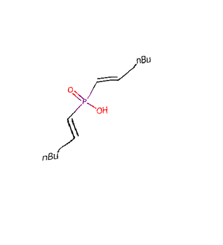 CCCCC=CP(=O)(O)C=CCCCC